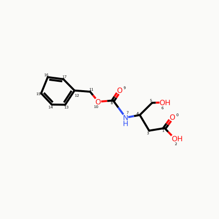 O=C(O)CC(CO)NC(=O)OCc1ccccc1